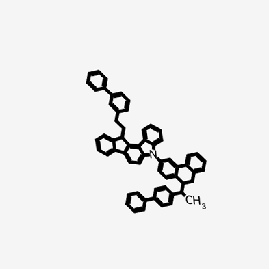 CC(c1ccc(-c2ccccc2)cc1)C1Cc2ccccc2-c2cc(-n3c4ccccc4c4c5c(ccc43)-c3ccccc3C5CCc3cccc(-c4ccccc4)c3)ccc21